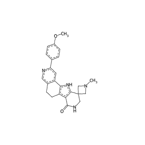 COc1ccc(-c2cc3c(cn2)CCc2c-3[nH]c3c2C(=O)NCC32CN(C)C2)cc1